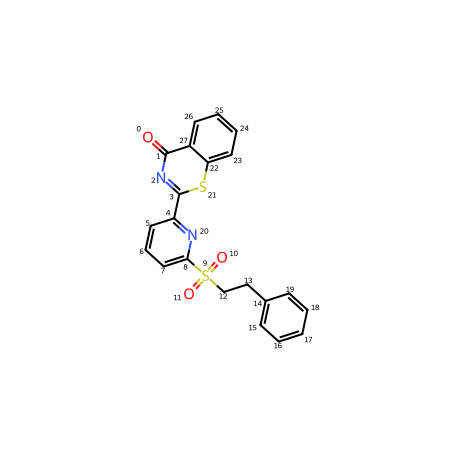 O=c1nc(-c2cccc(S(=O)(=O)CCc3ccccc3)n2)sc2ccccc12